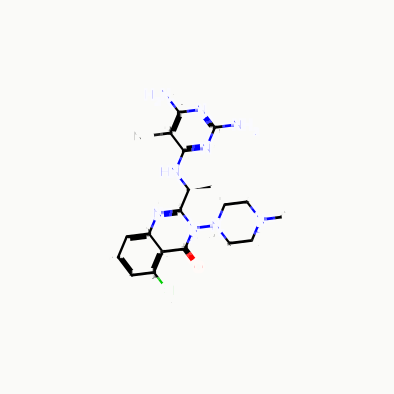 C[C@H](Nc1nc(N)nc(N)c1C#N)c1nc2cccc(Cl)c2c(=O)n1N1CCN(C)CC1